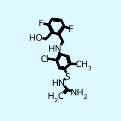 C=C(N)NSc1cc(Cl)c(NCc2c(F)ccc(F)c2CO)cc1C